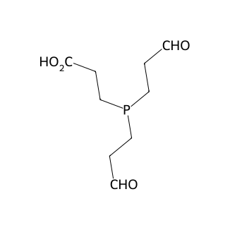 O=CCCP(CCC=O)CCC(=O)O